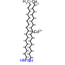 CCCCCCCCCCCCCCCCCC[NH-].CCCCCCCCCCCCCCCCCC[NH-].[Gd+2]